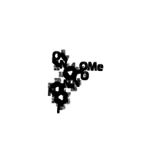 COC(=O)c1cc(N2CCOCC2)cc2c1ncn2-c1ccnc2cc(F)ccc12